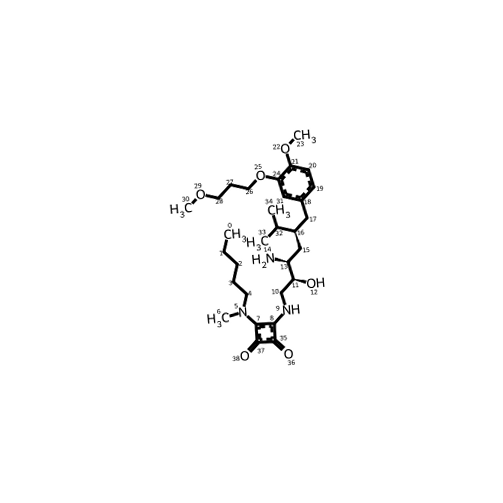 CCCCCN(C)c1c(NC[C@H](O)[C@@H](N)C[C@H](Cc2ccc(OC)c(OCCCOC)c2)C(C)C)c(=O)c1=O